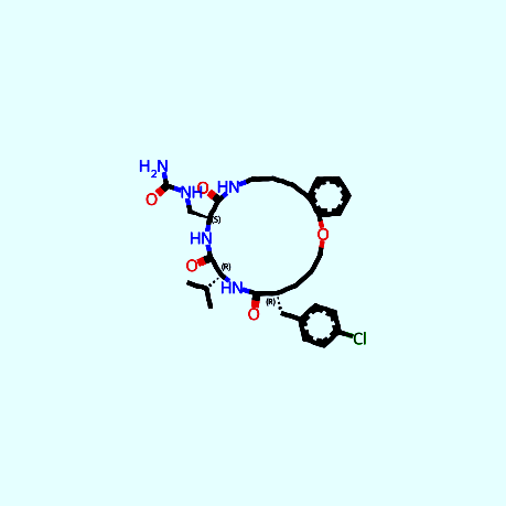 CC(C)[C@H]1NC(=O)[C@@H](Cc2ccc(Cl)cc2)CCCOc2ccccc2CCCNC(=O)[C@H](CNC(N)=O)NC1=O